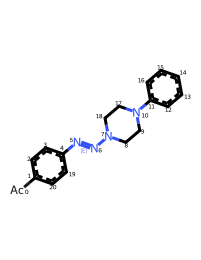 CC(=O)c1ccc(/N=N/N2CCN(c3ccccc3)CC2)cc1